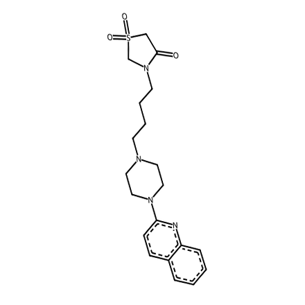 O=C1CS(=O)(=O)CN1CCCCN1CCN(c2ccc3ccccc3n2)CC1